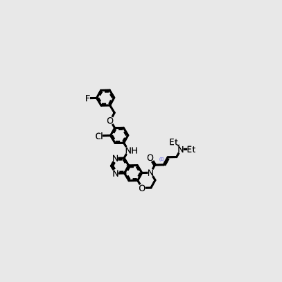 CCN(CC)C/C=C/C(=O)N1CCOc2cc3ncnc(Nc4ccc(OCc5cccc(F)c5)c(Cl)c4)c3cc21